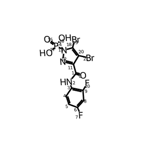 O=C(Nc1ccc(F)cc1F)c1nn(P(=O)(O)O)c(Br)c1Br